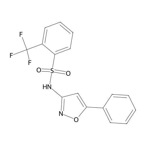 O=S(=O)(Nc1cc(-c2ccccc2)on1)c1ccccc1C(F)(F)F